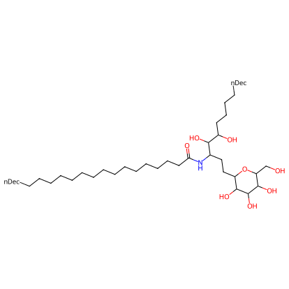 CCCCCCCCCCCCCCCCCCCCCCCCCC(=O)NC(CCC1OC(CO)C(O)C(O)C1O)C(O)C(O)CCCCCCCCCCCCCC